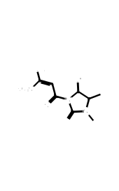 CN/C(=C\C(=N)N1C(=O)N(C)C(C)C1O)C(F)(F)F